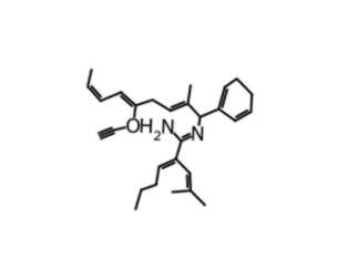 C#CO/C(=C\C=C/C)C/C=C(\C)C(/N=C(N)/C(C=C(C)C)=C/CCC)C1=CCCC=C1